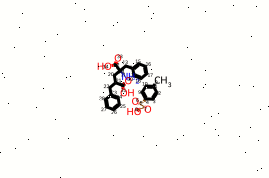 Cc1ccc(S(=O)(=O)O)cc1.N[C@@](Cc1ccccc1)(CC(Cc1ccccc1)C(=O)O)C(=O)O